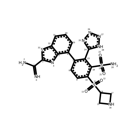 N=C(N)c1nc2c(-c3ccc(S(=O)(=O)C4CNC4)c(S(N)(=O)=O)c3-c3nnn[nH]3)cccc2s1